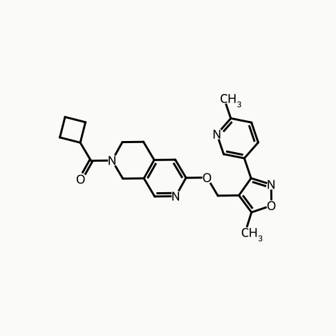 Cc1ccc(-c2noc(C)c2COc2cc3c(cn2)CN(C(=O)C2CCC2)CC3)cn1